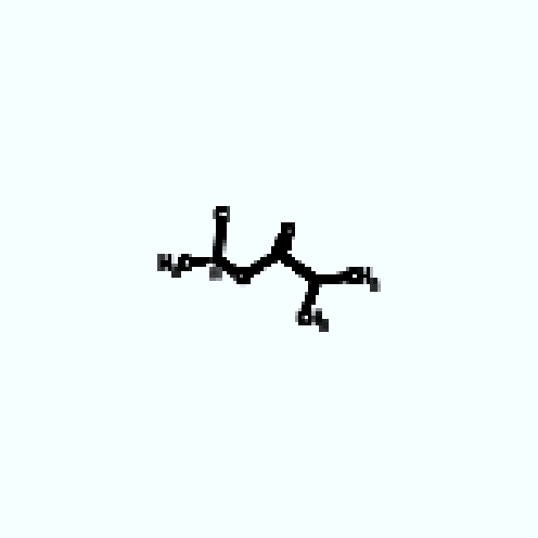 CC(C)C(=O)O[C@H](C)Cl